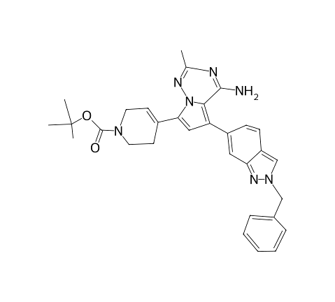 Cc1nc(N)c2c(-c3ccc4cn(Cc5ccccc5)nc4c3)cc(C3=CCN(C(=O)OC(C)(C)C)CC3)n2n1